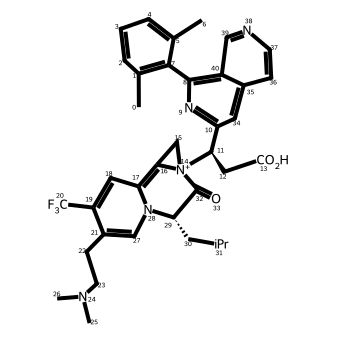 Cc1cccc(C)c1-c1nc([C@@H](CC(=O)O)[N+]23CC2=C2C=C(C(F)(F)F)C(CCN(C)C)=CN2[C@@H](CC(C)C)C3=O)cc2ccncc12